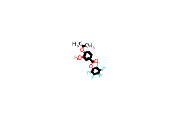 CC(C)Oc1ccc(C(=O)Oc2c(F)c(F)c(F)c(F)c2F)cc1O